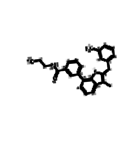 Cc1c(Cc2cccc(C(F)(F)F)c2)sc2c(-c3cccc(C(=O)NCCC#N)c3)cccc12